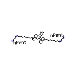 CCCCC/C=C\C/C=C\CCCCCCCCOC(=O)CC(SCN(C)C)C(=O)OCCCCCCCC/C=C\C/C=C\CCCCC